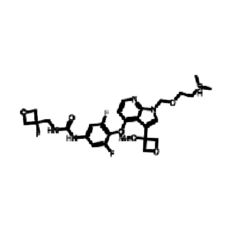 COC1(c2cn(COCC[SiH](C)C)c3nccc(Oc4c(F)cc(NC(=O)NCC5(F)COC5)cc4F)c23)COC1